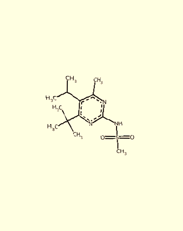 Cc1nc(NS(C)(=O)=O)nc(C(C)(C)C)c1C(C)C